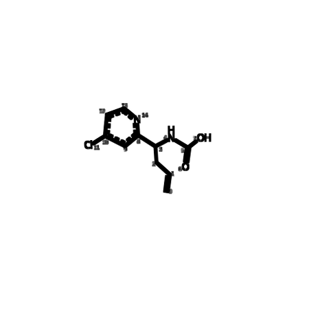 C=CCC(NC(=O)O)c1cc(Cl)ccn1